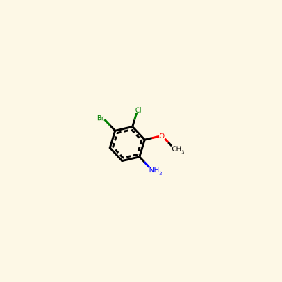 COc1c(N)ccc(Br)c1Cl